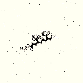 CCC(CC(=O)CC(CCC(=O)OC)C(=O)OC)C(=O)CO